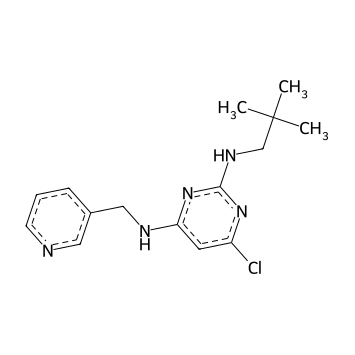 CC(C)(C)CNc1nc(Cl)cc(NCc2cccnc2)n1